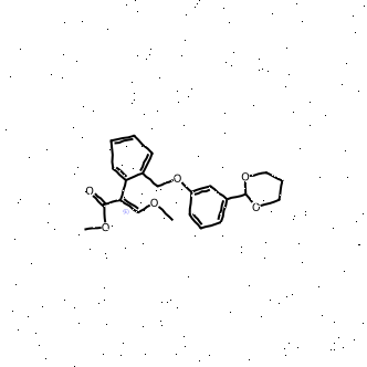 CO/C=C(/C(=O)OC)c1ccccc1COc1cccc(C2OCCCO2)c1